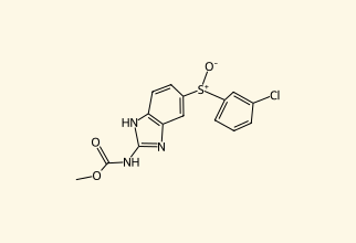 COC(=O)Nc1nc2cc([S+]([O-])c3cccc(Cl)c3)ccc2[nH]1